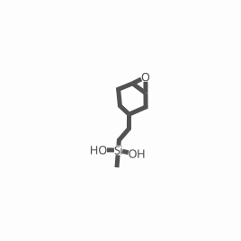 C[Si](O)(O)CCC1CCC2OC2C1